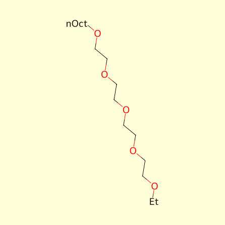 CCCCCCCCOCCOCCOCCOCCOCC